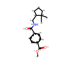 COC(=O)c1ccc(C(=O)NCC2CCCC2(C)C)cc1